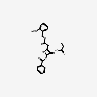 CCC(=O)O.COc1ccccc1COC(=O)CC1NC(NC(=O)c2ccccc2)C1=O